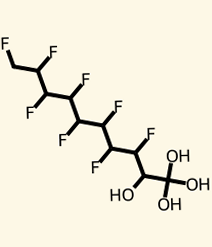 OC(C(F)C(F)C(F)C(F)C(F)C(F)C(F)CF)C(O)(O)O